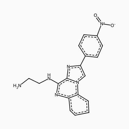 NCCNc1nc2ccccc2n2cc(-c3ccc([N+](=O)[O-])cc3)nc12